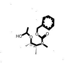 CC(O)O[C@@H](C)[C@@H](C)N(C)C(=O)OCc1ccccc1